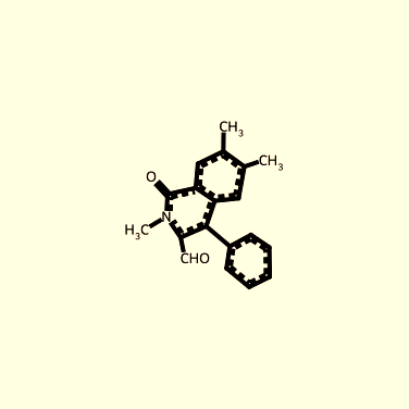 Cc1cc2c(-c3ccccc3)c(C=O)n(C)c(=O)c2cc1C